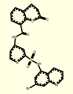 O=C(Nc1ccnc(S(=O)(=O)Nc2cc(Br)cc3ncccc23)c1)c1cccc2ccc(=O)oc12